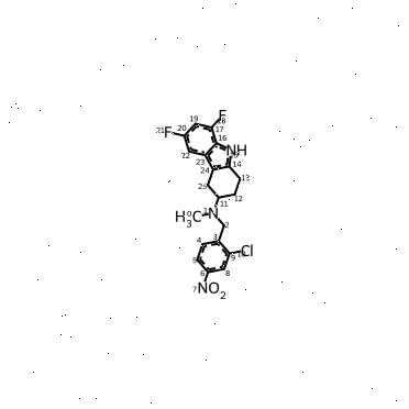 CN(Cc1ccc([N+](=O)[O-])cc1Cl)C1CCc2[nH]c3c(F)cc(F)cc3c2C1